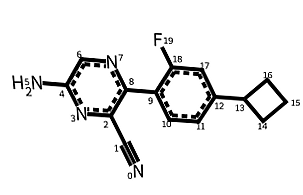 N#Cc1nc(N)cnc1-c1ccc(C2CCC2)cc1F